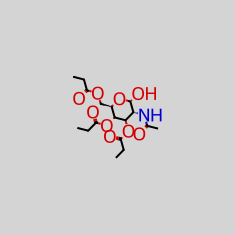 CCC(=O)OC[C@H]1O[C@H](O)[C@H](NC(C)=O)[C@@H](OC(=O)CC)[C@@H]1OC(=O)CC